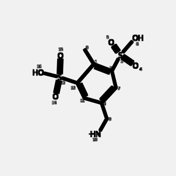 Cc1c(S(=O)(=O)O)cc(C[NH])cc1S(=O)(=O)O